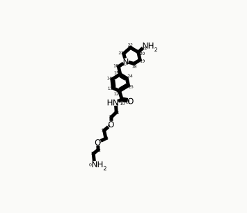 NCCOCCOCCNC(=O)c1ccc(CN2CCC(N)CC2)cc1